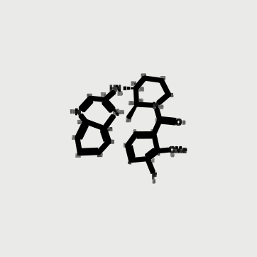 COc1c(F)cccc1C(=O)N1CCC[C@@H](Nc2cnc3ccccc3n2)[C@@H]1C